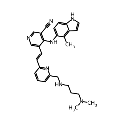 Cc1c(Nc2c(C#N)cncc2/C=C/c2cccc(CNCCCN(C)C)n2)ccc2[nH]ccc12